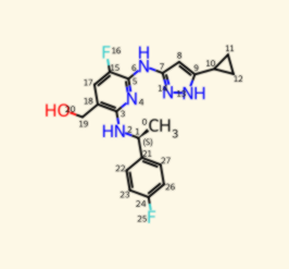 C[C@H](Nc1nc(Nc2cc(C3CC3)[nH]n2)c(F)cc1CO)c1ccc(F)cc1